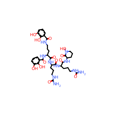 NC(=O)NCCCC(NC(=O)C(CCCNC(=O)c1cccc(O)c1O)NC(=O)c1cccc(O)c1O)C(=O)NC(CCCNC(N)=O)C(=O)NC1CCCN(O)C1=O